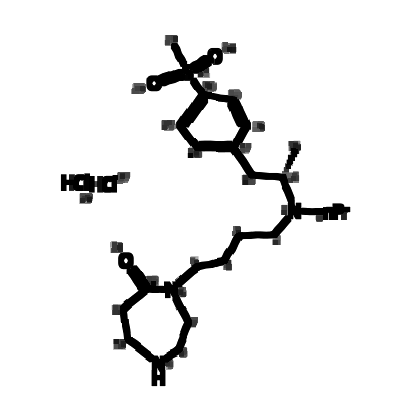 CCCN(CCCCN1CCNCCC1=O)[C@@H](C)Cc1ccc(S(C)(=O)=O)cc1.Cl.Cl